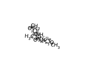 COc1ccc(N2CCN(C(=O)c3[nH]c4ccc(C(C)=O)cc4c3C)CC2)cc1